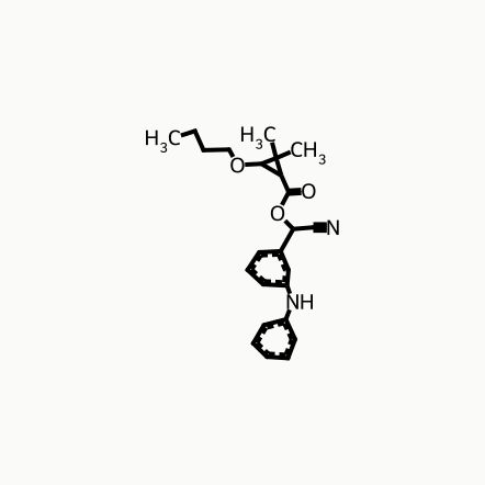 CCCCOC1C(C(=O)OC(C#N)c2cccc(Nc3ccccc3)c2)C1(C)C